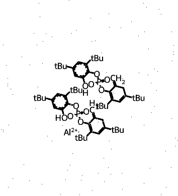 C=C1CC(C(C)(C)C)=CC(C(C)(C)C)=C1OP(=O)([O-])Oc1c(O)cc(C(C)(C)C)cc1C(C)(C)C.C=C1CC(C(C)(C)C)=CC(C(C)(C)C)=C1OP(=O)([O-])Oc1c(O)cc(C(C)(C)C)cc1C(C)(C)C.[Al+2]